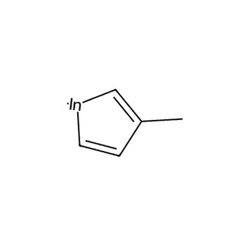 CC1=[CH][In][CH]=C1